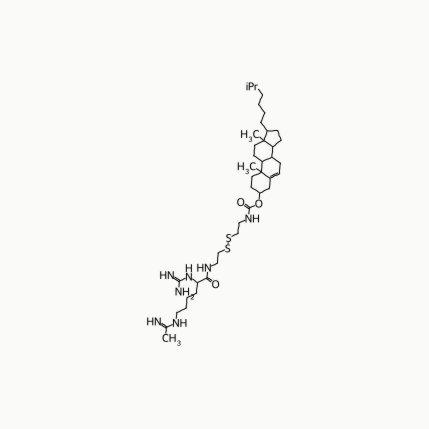 CC(=N)NCCCCC(NC(=N)N)C(=O)NCCSSCCNC(=O)OC1CCC2(C)C(=CCC3C2CCC2(C)C(CCCCC(C)C)CCC32)C1